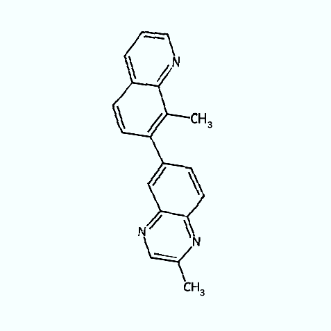 Cc1cnc2cc(-c3ccc4cccnc4c3C)ccc2n1